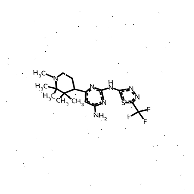 CN1CCC(c2cc(N)nc(Nc3nnc(C(F)(F)F)s3)n2)C(C)(C)C1(C)C